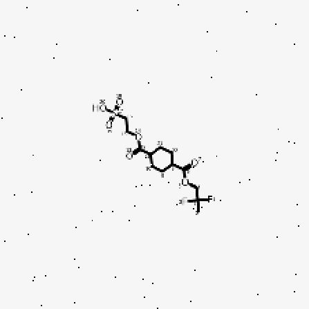 CC(F)(F)COC(=O)C1CCC(C(=O)OCCS(=O)(=O)O)CC1